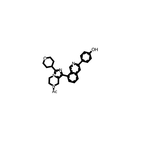 CC(=O)N1CCn2c(C3CCOCC3)nc(-c3cccc4cc(-c5ccc(O)cc5)ncc34)c2C1